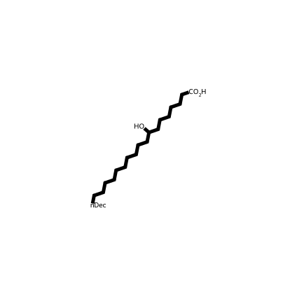 CCCCCCCCCCCCCCCCCCCCC(O)CCCCCCC(=O)O